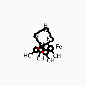 C#Cc1ccc(-c2c(-c3ccc(C#C)cc3)c3c(-c4ccc(C#C)cc4)c4nc(cc5ccc(cc6nc(cc2n3-c2ccc(C#C)cc2)C=C6)[nH]5)C=C4)cc1.[Fe]